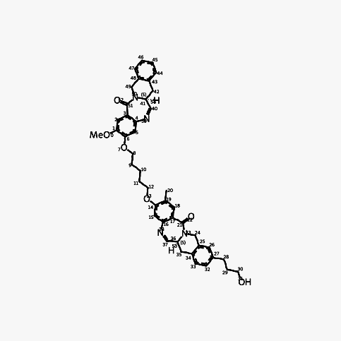 COc1cc2c(cc1OCCCCCOc1cc3c(cc1C)C(=O)N1Cc4cc(CCCO)ccc4C[C@H]1C=N3)N=C[C@@H]1Cc3ccccc3CN1C2=O